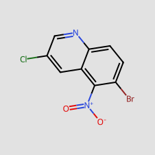 O=[N+]([O-])c1c(Br)ccc2ncc(Cl)cc12